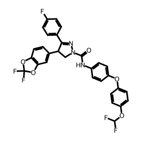 O=C(Nc1ccc(Oc2ccc(OC(F)F)cc2)cc1)N1CC(c2ccc3c(c2)OC(F)(F)O3)C(c2ccc(F)cc2)=N1